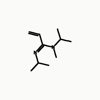 C=CC(=NC(C)C)N(C)C(C)C